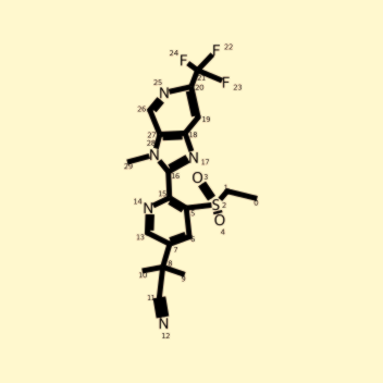 CCS(=O)(=O)c1cc(C(C)(C)C#N)cnc1-c1nc2cc(C(F)(F)F)ncc2n1C